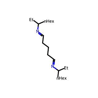 CCCCCCC(CC)N=CCCCC=NC(CC)CCCCCC